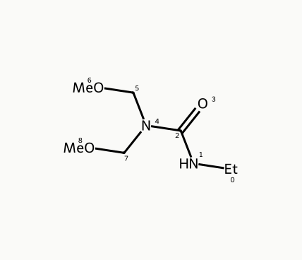 CCNC(=O)N(COC)COC